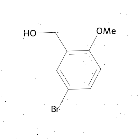 COc1ccc(Br)cc1[CH]O